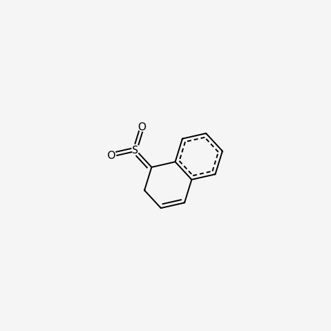 O=S(=O)=C1CC=Cc2ccccc21